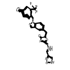 O=C1N=C(NCc2c[nH]nn2)SC1=Cc1ccc2c(cnn2Cc2ccc(Cl)cc2C(F)(F)F)c1